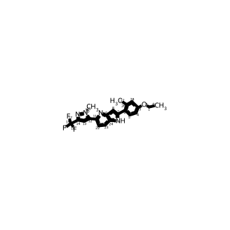 CCOc1ccc(-c2cc3nc(-c4cc(C(F)(F)F)nn4C)ccc3[nH]2)c(C)c1